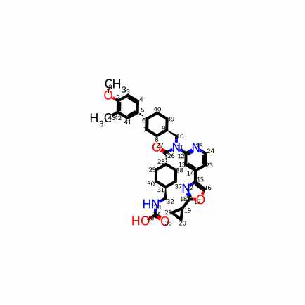 COc1ccc([C@H]2CC[C@H](CN(c3cc(-c4coc(C5CC5)n4)ccn3)C(=O)[C@H]3CC[C@H](CNC(=O)O)CC3)CC2)cc1C